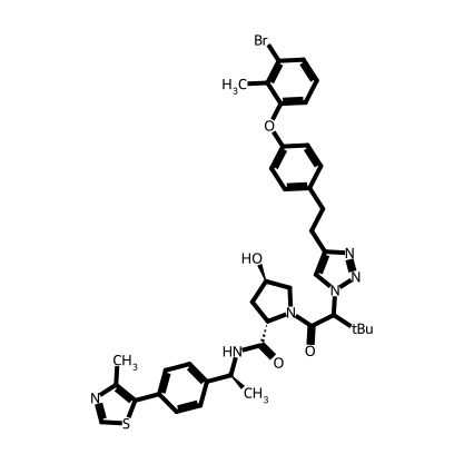 Cc1ncsc1-c1ccc([C@H](C)NC(=O)[C@@H]2C[C@@H](O)CN2C(=O)C(n2cc(CCc3ccc(Oc4cccc(Br)c4C)cc3)nn2)C(C)(C)C)cc1